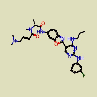 CCCNc1nc(Nc2cccc(F)c2)ncc1-c1nc2ccc(NC(=O)[C@H](C)N(C)C(=O)/C=C/CN(C)C)cc2o1